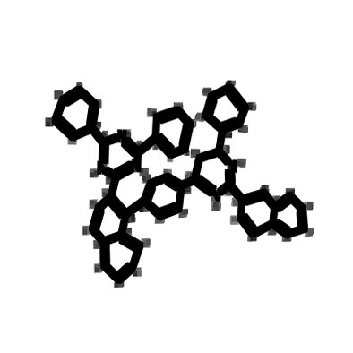 c1ccc(-c2nc(-c3ccccc3)nc(-c3ccc4ccccc4c3-c3ccc(C4=NC(c5ccc6ccccc6c5)=NC(c5ccccc5)C4)cc3)n2)cc1